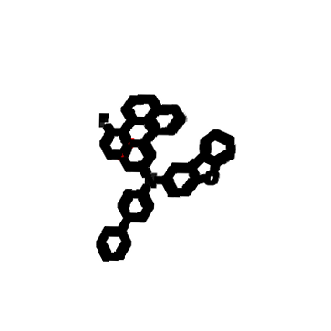 Fc1ccccc1-c1cccc2cccc(-c3cccc(N(c4ccc(-c5ccccc5)cc4)c4ccc5oc6ccccc6c5c4)c3)c12